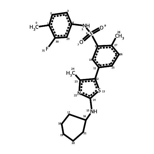 Cc1ccc(NS(=O)(=O)c2cc(-c3sc(NC4CCCCC4)nc3C)ccc2C)cc1F